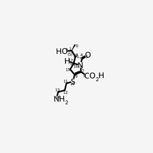 C[C@H](O)[C@@H]1C(=O)N2C(C(=O)O)=C(SCCCN)C[C@H]12